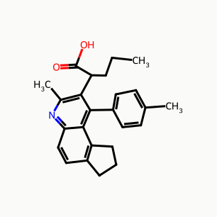 CCCC(C(=O)O)c1c(C)nc2ccc3c(c2c1-c1ccc(C)cc1)CCC3